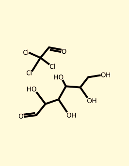 O=CC(Cl)(Cl)Cl.O=CC(O)C(O)C(O)C(O)CO